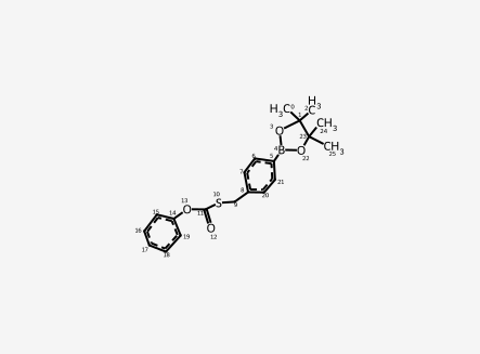 CC1(C)OB(c2ccc(CSC(=O)Oc3ccccc3)cc2)OC1(C)C